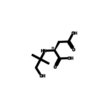 CC(C)(CO)N[C@@H](CC(=O)O)C(=O)O